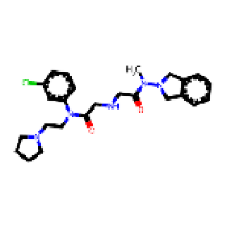 CN(C(=O)CNCC(=O)N(CCN1CCCC1)c1cccc(Cl)c1)N1Cc2ccccc2C1